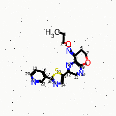 CCCO/N=C1\CCOc2ncc(-c3cnc(-c4cccnc4)s3)nc21